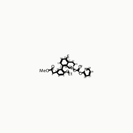 CCOc1ccc(CC(=O)OC)cc1-c1ccc(F)c2c1CN(OC(=O)Oc1ccccn1)CC2